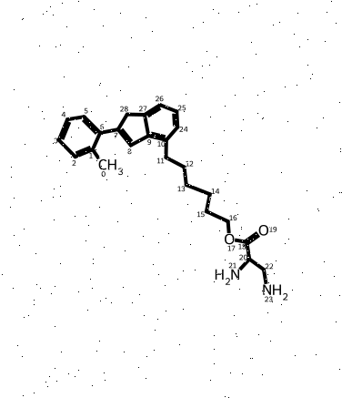 Cc1ccccc1C1=Cc2c(CCCCCCOC(=O)C(N)CN)cccc2C1